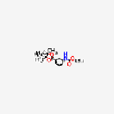 CC(C)(C)OC(=O)N[C@H]1CCC=C(B2OC(C)(C)C(C)(C)O2)C1